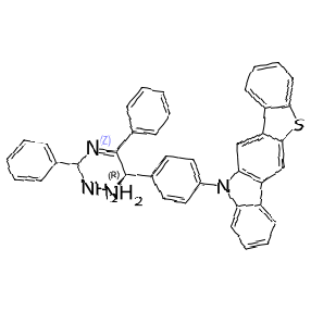 NC(/N=C(/c1ccccc1)[C@H](N)c1ccc(-n2c3ccccc3c3cc4sc5ccccc5c4cc32)cc1)c1ccccc1